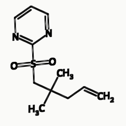 C=CCC(C)(C)CS(=O)(=O)c1ncccn1